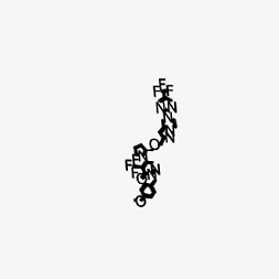 COc1ccc(Cn2ncc(N3CCC[C@H]3COCc3cc4n(n3)CCN(c3ncc(C(F)(F)F)cn3)C4)c(C(F)(F)F)c2=O)cc1